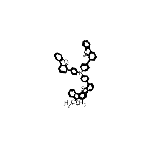 CC1(C)c2ccc3c(sc4c(C5=CC=C(N(c6ccc(C7=C8OC9=C(C=CCC9)C8CC=C7)cc6)C6C=CC(C7C=CC=C8c9ccccc9SC87)CC6)CC5)cccc43)c2C2C=CC=CC21